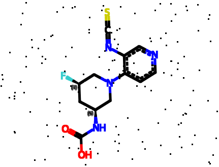 O=C(O)N[C@H]1C[C@@H](F)CN(c2ccncc2N=C=S)C1